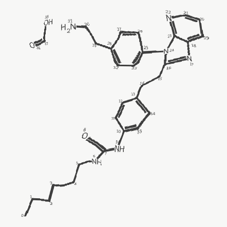 CCCCCCNC(=O)Nc1ccc(CCc2nc3cccnc3n2-c2ccc(CCN)cc2)cc1.O=CO